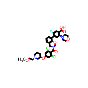 COCCN1CCC[C@@H](Oc2cc(Cl)c(C(=O)N3COc4c(cccc4-c4cc(N5CCOCC5)c(C(=O)O)cc4F)C3)c(Cl)c2)C1